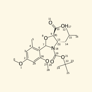 COc1cc(C)c(C2O[C@@H](C(=O)O)[C@H](CC(C)C)N2C(=O)OC(C)(C)C)c(OC)c1